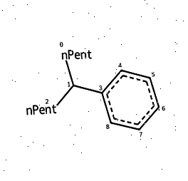 CCCCCC(CCCCC)c1cc[c]cc1